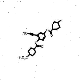 CCOC(=O)C1CCC(C(=O)Oc2ccc(OC(=O)C3CCC(C)CC3)cc2C#CC#N)CC1